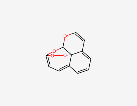 C1=CC2=CC=C3OOC24C(=C1)C=COC4O3